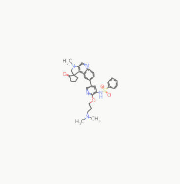 CN(C)CCCOc1ncc(-c2ccc3ncc4c(c3c2)C2(CCCC2=O)CN4C)cc1NS(=O)(=O)c1ccccc1